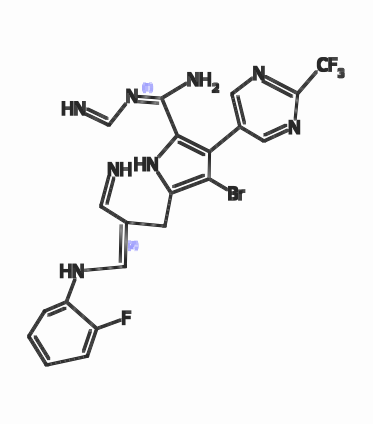 N=C/N=C(/N)c1[nH]c(C/C(C=N)=C/Nc2ccccc2F)c(Br)c1-c1cnc(C(F)(F)F)nc1